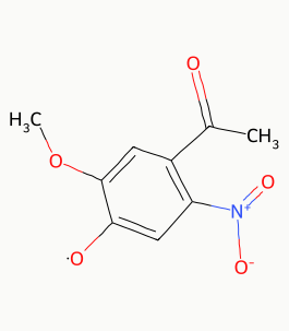 COc1cc(C(C)=O)c([N+](=O)[O-])cc1[O]